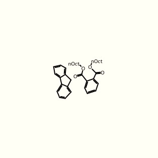 CCCCCCCCOC(=O)c1ccccc1C(=O)OCCCCCCCC.c1ccc2c(c1)Cc1ccccc1-2